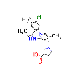 CCC(Nc1cc(CN2CCC(C(=O)O)C2)c(C)cn1)c1ccc(Cl)c(C)c1